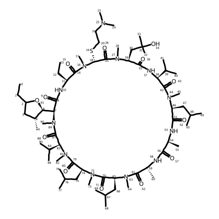 CCC1C[C@@H](C)[C@H]([C@H]2C(=O)N[C@@H](CC)C(=O)N(C)[C@H](SCCN(C)C)C(=O)N(C)[C@@H](CC(C)(C)O)C(=O)N[C@@H](C(C)C)C(=O)N(C)[C@@H](CC(C)C)C(=O)N[C@@H](C)C(=O)N[C@H](C)C(=O)N(C)[C@@H](CC(C)C)C(=O)N(C)[C@@H](CC(C)C)C(=O)N(C)[C@@H](C(C)C)C(=O)N2C)O1